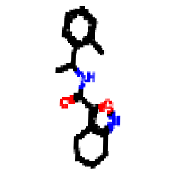 Cc1ccccc1C(C)NC(=O)c1onc2c1CCCC2